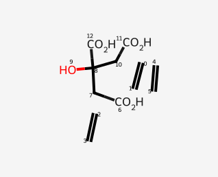 C=C.C=C.C=C.O=C(O)CC(O)(CC(=O)O)C(=O)O